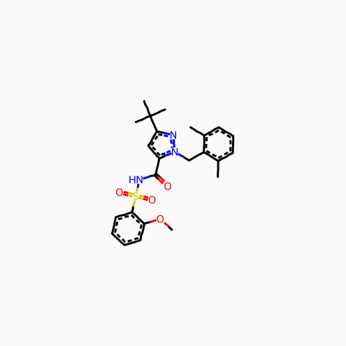 COc1ccccc1S(=O)(=O)NC(=O)c1cc(C(C)(C)C)nn1Cc1c(C)cccc1C